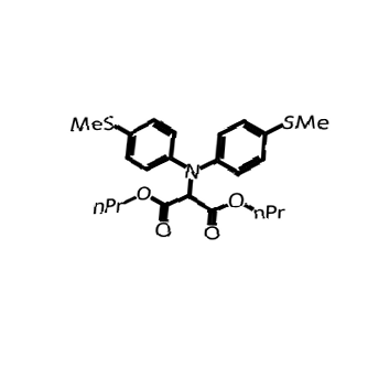 CCCOC(=O)C(C(=O)OCCC)N(c1ccc(SC)cc1)c1ccc(SC)cc1